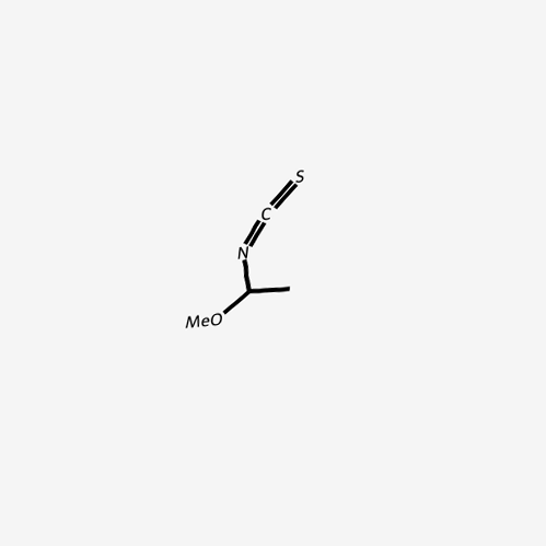 COC(C)N=C=S